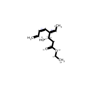 C=C/C=C\C(=C/C)[C@@H](O)CC(=O)OCC